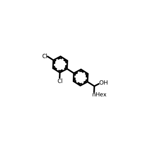 CCCCCCC(O)c1ccc(-c2ccc(Cl)cc2Cl)cc1